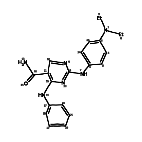 CCN(CC)c1ccc(Nc2ncc(C(N)=O)c(Nc3ccccc3)n2)cc1